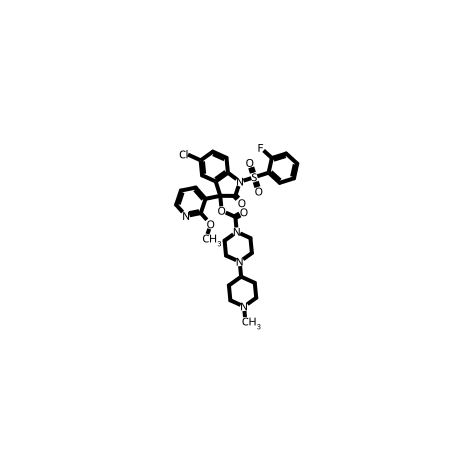 COc1ncccc1C1(OC(=O)N2CCN(C3CCN(C)CC3)CC2)C(=O)N(S(=O)(=O)c2ccccc2F)c2ccc(Cl)cc21